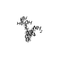 CC(C)(C)SCC(O)C(O)CSCCCN1CN(CCN)C(=O)N(CC2CO2)C1=O